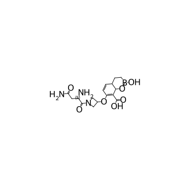 NC(=O)C[C@H](N)C(=O)N1CC(OC2=C(C(=O)O)C3OB(O)CCC3C=C2)C1